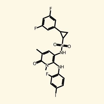 Cc1cc(NS(=O)(=O)C2CC2c2cc(F)cc(F)c2)c(Nc2ccc(I)cc2F)n(C)c1=O